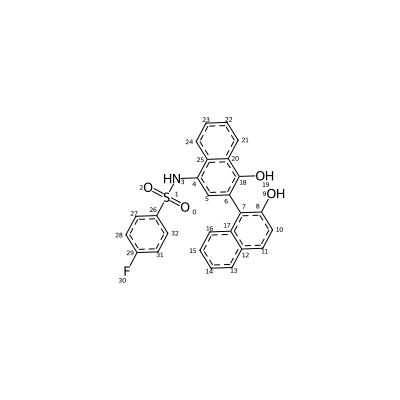 O=S(=O)(Nc1cc(-c2c(O)ccc3ccccc23)c(O)c2ccccc12)c1ccc(F)cc1